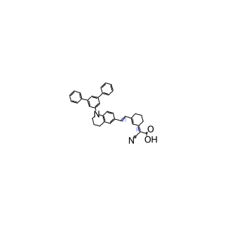 N#C/C(C(=O)O)=C1C=C(/C=C/c2ccc3c(c2)CCCN3c2cc(-c3ccccc3)cc(-c3ccccc3)c2)CCC\1